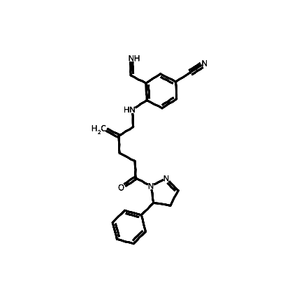 C=C(CCC(=O)N1N=CCC1c1ccccc1)CNc1ccc(C#N)cc1C=N